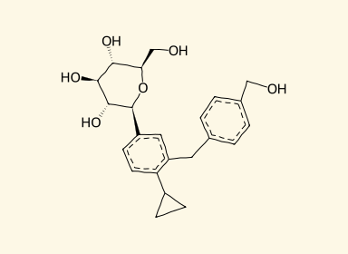 OCc1ccc(Cc2cc([C@@H]3O[C@H](CO)[C@@H](O)[C@H](O)[C@H]3O)ccc2C2CC2)cc1